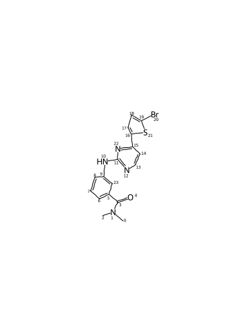 CN(C)C(=O)c1cccc(Nc2nccc(-c3ccc(Br)s3)n2)c1